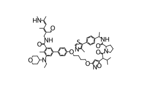 CCN(c1cc(-c2ccc(OCCCCOc3cc(C(C(=O)N4CCCC4C(=O)NC(C)c4ccc(-c5scnc5C)cc4)C(C)C)on3)cc2)cc(C(=O)NC/C(C=O)=C(C)/C=C(/C)NC)c1C)C1CCOCC1